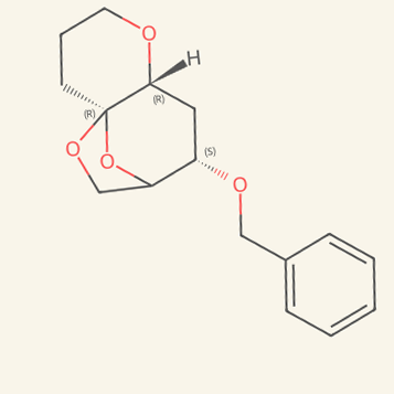 c1ccc(CO[C@H]2C[C@H]3OCCC[C@]34OCC2O4)cc1